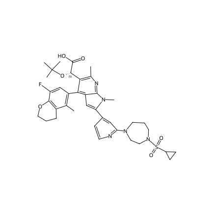 Cc1nc2c(cc(-c3ccnc(N4CCCN(S(=O)(=O)C5CC5)CC4)c3)n2C)c(-c2cc(F)c3c(c2C)CCCO3)c1[C@H](OC(C)(C)C)C(=O)O